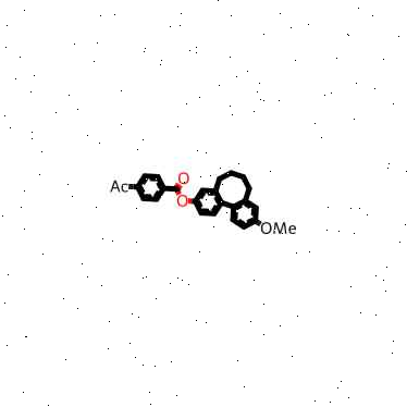 COc1ccc2c(c1)CCCCc1cc(OC(=O)c3ccc(C(C)=O)cc3)ccc1-2